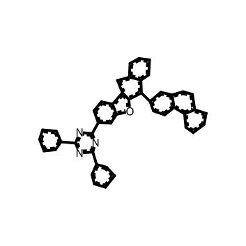 c1ccc(-c2nc(-c3ccccc3)nc(-c3ccc4c(c3)oc3c(-c5ccc6c(ccc7ccccc76)c5)c5ccccc5cc34)n2)cc1